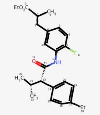 CCOC(=O)C(C)Cc1ccc(F)c(NC(=O)[C@H](c2ccc(CC)cc2)[C@@H](C)C(F)(F)F)c1